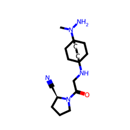 CN(N)C12CCC(NCC(=O)N3CCC[C@H]3C#N)(CC1)CC2